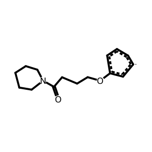 O=C(CCCOc1c[c]ccc1)N1CCCCC1